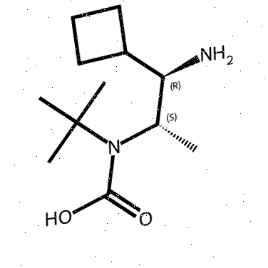 C[C@@H]([C@H](N)C1CCC1)N(C(=O)O)C(C)(C)C